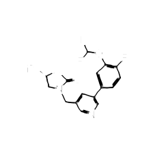 CC(C)[C@@H]1CN(Cc2cncc(-c3ccc(F)c(OC(F)F)c3)c2)C(=O)O1